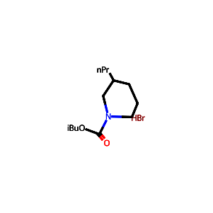 Br.CCCC1CCCN(C(=O)OCC(C)C)C1